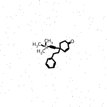 C[Si](C)(C)C#CC1(CCc2ccccc2)C=CC(=O)CC1